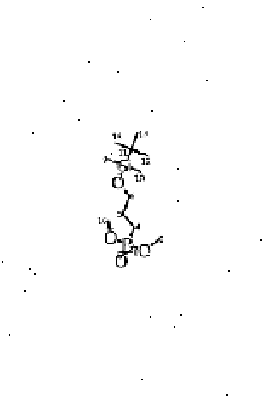 COP(=O)(CCCO[Si](C)(C)C(C)(C)C)OC